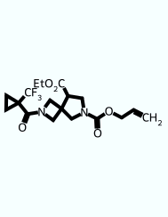 C=CCOC(=O)N1CC(C(=O)OCC)C2(C1)CN(C(=O)C1(C(F)(F)F)CC1)C2